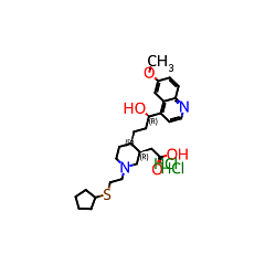 COc1ccc2nccc([C@H](O)CC[C@@H]3CCN(CCSC4CCCC4)C[C@@H]3CC(=O)O)c2c1.Cl.Cl